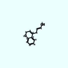 OC=CCC1=CCOc2ccccc21